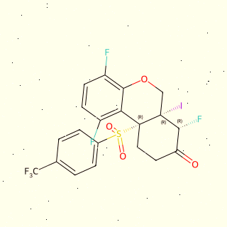 O=C1CC[C@@]2(S(=O)(=O)c3ccc(C(F)(F)F)cc3)c3c(F)ccc(F)c3OC[C@@]2(I)[C@@H]1F